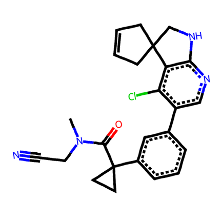 CN(CC#N)C(=O)C1(c2cccc(-c3cnc4c(c3Cl)C3(CC=CC3)CN4)c2)CC1